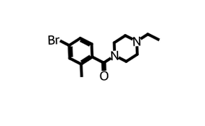 CCN1CCN(C(=O)c2ccc(Br)cc2C)CC1